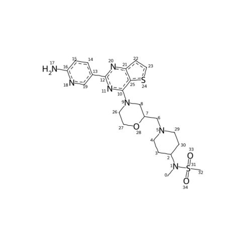 CN(C1CCN(CC2CN(c3nc(-c4ccc(N)nc4)nc4ccsc34)CCO2)CC1)S(C)(=O)=O